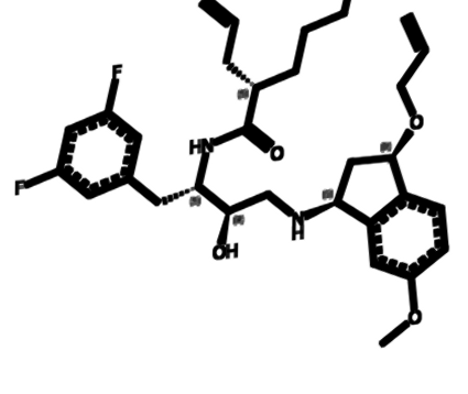 C=CCO[C@@H]1C[C@H](NC[C@@H](O)[C@H](Cc2cc(F)cc(F)c2)NC(=O)[C@H](CC=C)CCCC)c2cc(OC)ccc21